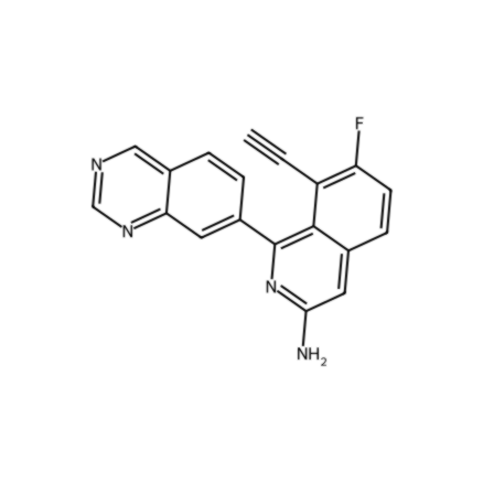 C#Cc1c(F)ccc2cc(N)nc(-c3ccc4cncnc4c3)c12